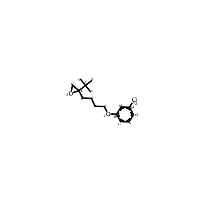 CC(C)(C)C1(CCCCOc2cccc(Cl)c2)CO1